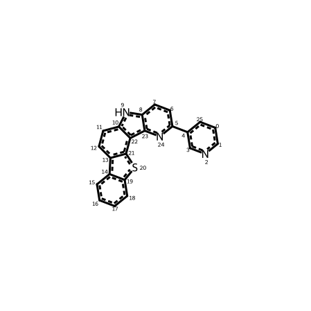 c1cncc(-c2ccc3[nH]c4ccc5c6ccccc6sc5c4c3n2)c1